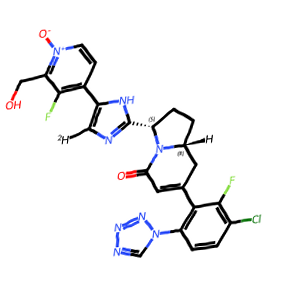 [2H]c1nc([C@@H]2CC[C@@H]3CC(c4c(-n5cnnn5)ccc(Cl)c4F)=CC(=O)N32)[nH]c1-c1cc[n+]([O-])c(CO)c1F